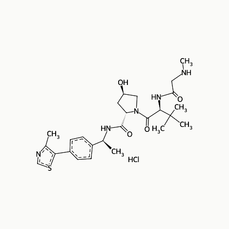 CNCC(=O)N[C@H](C(=O)N1C[C@H](O)C[C@H]1C(=O)N[C@@H](C)c1ccc(-c2scnc2C)cc1)C(C)(C)C.Cl